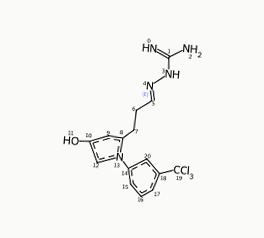 N=C(N)N/N=C/CCc1cc(O)cn1-c1cccc(C(Cl)(Cl)Cl)c1